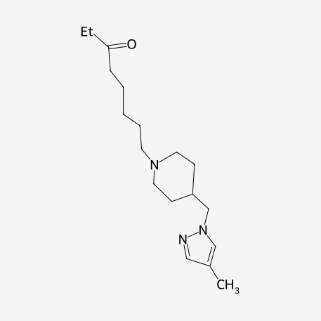 CCC(=O)CCCCCN1CCC(Cn2cc(C)cn2)CC1